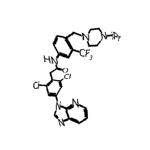 CC(C)N1CCN(Cc2ccc(NC(=O)Cc3c(Cl)cc(-n4cnc5cccnc54)cc3Cl)cc2C(F)(F)F)CC1